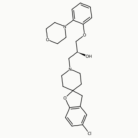 O[C@H](COc1ccccc1N1CCOCC1)CN1CCC2(CC1)Cc1cc(Cl)ccc1O2